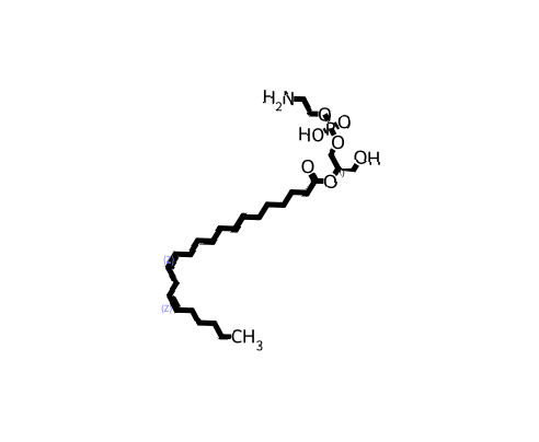 CCCCC/C=C\C/C=C\CCCCCCCCCCCC(=O)O[C@H](CO)COP(=O)(O)OCCN